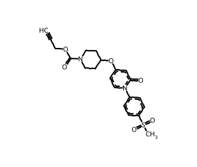 C#CCOC(=O)N1CCC(Oc2ccn(-c3ccc(S(C)(=O)=O)cc3)c(=O)c2)CC1